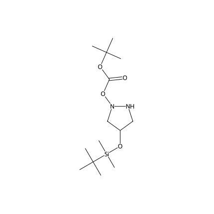 CC(C)(C)OC(=O)ON1CC(O[Si](C)(C)C(C)(C)C)CN1